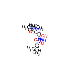 CC(C)(C)NC(=O)C(Cc1ccc(O)c(-n2[nH]c(=O)n(-c3ccc(C(C)(C)C)cc3)c2=O)c1)NC(C)(C)C